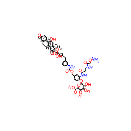 C[C@]12C=CC(=O)C=C1CC[C@@H]1[C@@H]2[C@@H](O)C[C@@]2(C)[C@H]1C[C@H]1O[C@H](C34CC(Cc5cccc(NC(=O)OCc6ccc(O[C@@H]7O[C@H](C(=O)O)[C@@H](O)[C@H](O)[C@H]7O)c(NC(=O)CCNC(=O)CON)c6)c5)(C3)C4)O[C@]12C(=O)CO